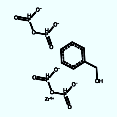 O=[PH]([O-])O[PH](=O)[O-].O=[PH]([O-])O[PH](=O)[O-].OCc1ccccc1.[Zr+4]